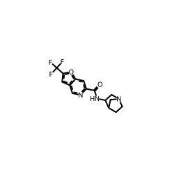 O=C(NC1CN2CCC1C2)c1cc2oc(C(F)(F)F)cc2cn1